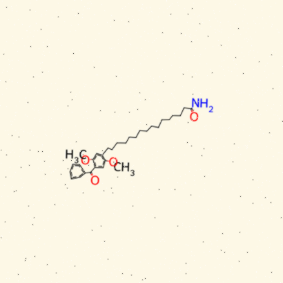 COc1cc(C(=O)c2ccccc2)c(OC)cc1CCCCCCCCCCCCCCCC(N)=O